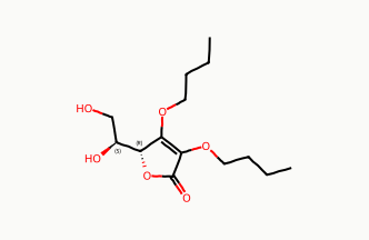 CCCCOC1=C(OCCCC)[C@@H]([C@@H](O)CO)OC1=O